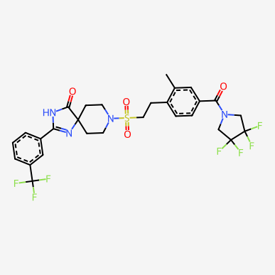 Cc1cc(C(=O)N2CC(F)(F)C(F)(F)C2)ccc1CCS(=O)(=O)N1CCC2(CC1)N=C(c1cccc(C(F)(F)F)c1)NC2=O